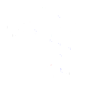 CN(C)[C@@H]1CN(c2ncc3c4c(c(-c5ncc(Cl)c6sc(NC(=O)OC(C)(C)C)c(C#N)c56)c(F)c3n2)COC4)C[C@@H]1O